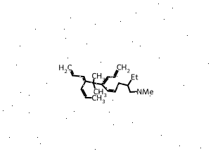 C=C/C=C(\C=C/C)C(C)(C)C(/C=C\CC(CC)CNC)=C/C=C